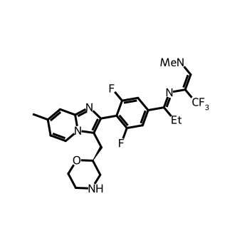 CC/C(=N\C(=C/NC)C(F)(F)F)c1cc(F)c(-c2nc3cc(C)ccn3c2C[C@H]2CNCCO2)c(F)c1